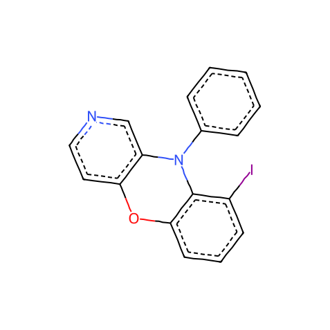 Ic1cccc2c1N(c1ccccc1)c1cnccc1O2